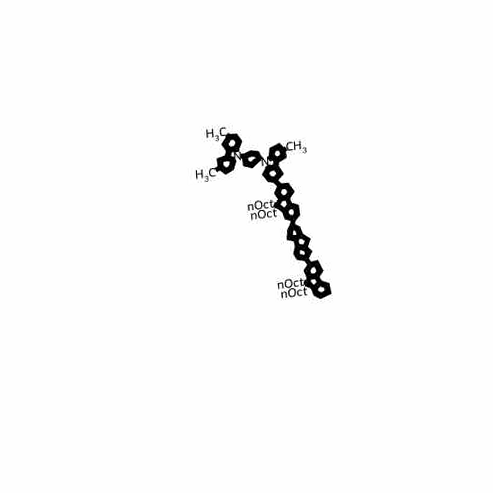 CCCCCCCCC1(CCCCCCCC)c2ccccc2-c2ccc(-c3ccc4c(c3)Cc3cc(-c5ccc6c(c5)C(CCCCCCCC)(CCCCCCCC)c5cc(-c7ccc8c(c7)c7cc(C)ccc7n8-c7ccc(-n8c9ccc(C)cc9c9cc(C)ccc98)cc7)ccc5-6)ccc3-4)cc21